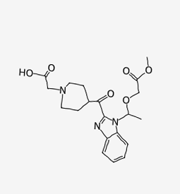 COC(=O)COC(C)n1c(C(=O)C2CCN(CC(=O)O)CC2)nc2ccccc21